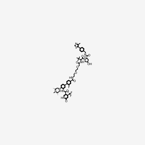 Cc1ncsc1-c1ccc(CNC(=O)[C@@H]2C[C@@H](O)CN2C(=O)[C@@H](NC(=O)COCCOCCNC(=O)c2ccc(-c3ccc(N4C[C@@H](C)N(C)[C@@H](C)C4)c(NC(=O)c4c[nH]c(=O)cc4C(F)(F)F)c3)c(F)c2)C(C)(C)C)cc1